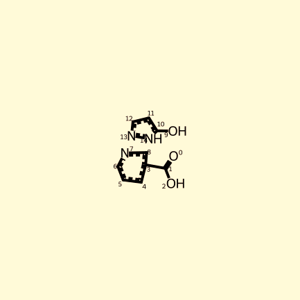 O=C(O)c1cccnc1.Oc1ccn[nH]1